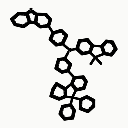 CC1(C)c2ccccc2-c2ccc(N(c3ccc(-c4ccc5sc6ccccc6c5c4)cc3)c3cccc(-c4cccc5c4-c4ccccc4C5(c4ccccc4)c4ccccc4)c3)cc21